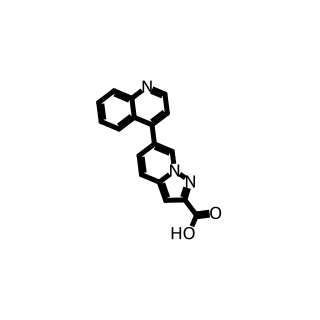 O=C(O)c1cc2ccc(-c3ccnc4ccccc34)cn2n1